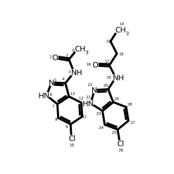 CC(=O)Nc1n[nH]c2cc(Cl)ccc12.CCCC(=O)Nc1n[nH]c2cc(Cl)ccc12